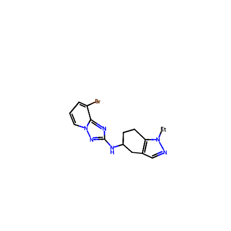 CCn1ncc2c1CCC(Nc1nc3c(Br)cccn3n1)C2